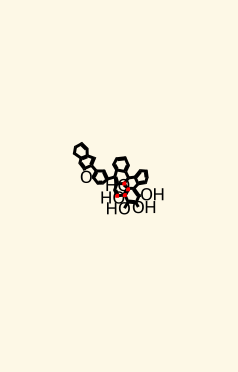 Oc1c(O)c(O)c(-c2ccccc2C2c3ccccc3C(c3ccc4oc5cc6c(cc5c4c3)C=CCC6)=C3C=CC=CC32)c(O)c1O